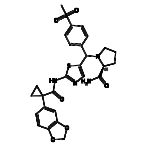 CS(=O)(=O)c1ccc(C(c2cnc(NC(=O)C3(c4ccc5c(c4)OCO5)CC3)s2)N2CCC[C@H]2C(N)=O)cc1